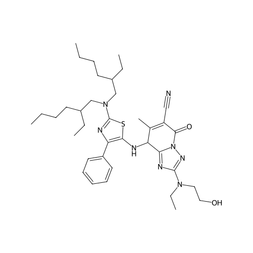 CCCCC(CC)CN(CC(CC)CCCC)c1nc(-c2ccccc2)c(NC2C(C)=C(C#N)C(=O)n3nc(N(CC)CCO)nc32)s1